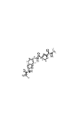 CC(C)NC(=O)c1cccc(C(=O)NCc2ccc3sc(NC(=O)N(C)C)nc3c2)n1